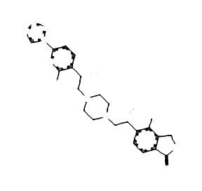 Cc1nc(-n2cnnn2)ccc1[C@H](O)CN1CCN(C[C@H](O)c2ccc3c(c2C)COC3=O)CC1